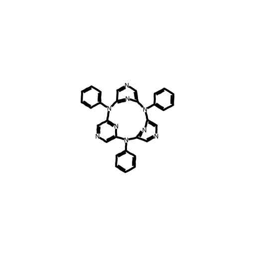 c1ccc(N2c3cncc(n3)N(c3ccccc3)c3cncc(n3)N(c3ccccc3)c3cncc2n3)cc1